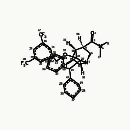 CN(C)C(=O)[C@H]1C[N@@]2CC[C@H]1[C@@H](OCc1cc(C(F)(F)F)cc(C(F)(F)F)c1)[C@H]2C(c1ccccc1)c1ccccc1